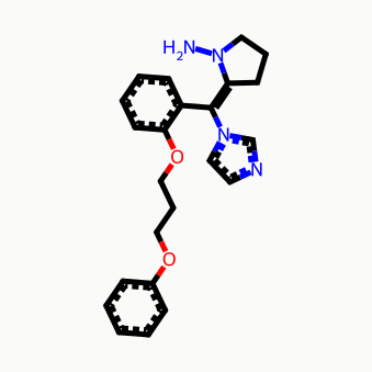 NN1CCCC1=C(c1ccccc1OCCCOc1ccccc1)n1ccnc1